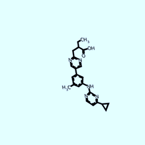 CCC(Cc1ncc(-c2cc(C)cc(Nc3nccc(C4CC4)n3)c2)cn1)C(=O)O